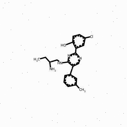 CCC(N)CNc1nc(-c2cc(Cl)ccc2O)ncc1-c1cccc(C)c1